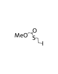 COCC(=O)SCCI